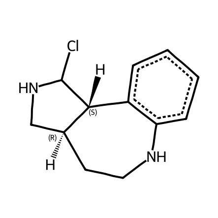 ClC1NC[C@@H]2CCNc3ccccc3[C@@H]12